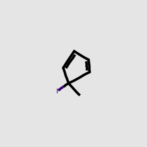 CC1(I)C=CC=C1